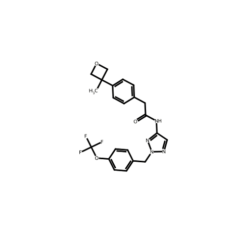 CC1(c2ccc(CC(=O)Nc3cnn(Cc4ccc(OC(F)(F)F)cc4)n3)cc2)COC1